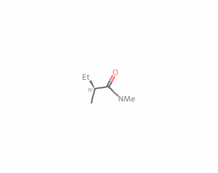 CC[C@H](C)C(=O)NC